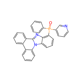 O=P(c1ccccc1)(c1cccnc1)c1cccc2c1nc1c3ccccc3c3ccccc3n21